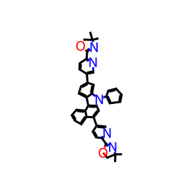 CC1(C)COC(c2ccc(-c3ccc4c5c6ccccc6c(-c6ccc(C7=NC(C)(C)CO7)nc6)cc5n(-c5ccccc5)c4c3)cn2)=N1